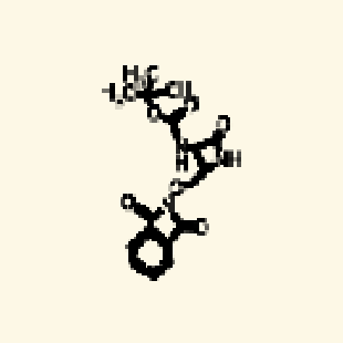 CC(C)(C)OC(=O)NC1C(=O)NC1CON1C(=O)c2ccccc2C1=O